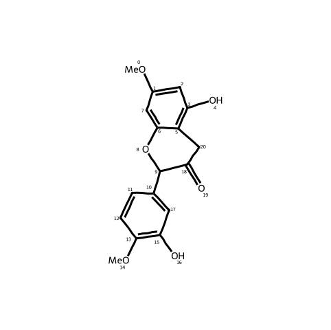 COc1cc(O)c2c(c1)OC(c1ccc(OC)c(O)c1)C(=O)C2